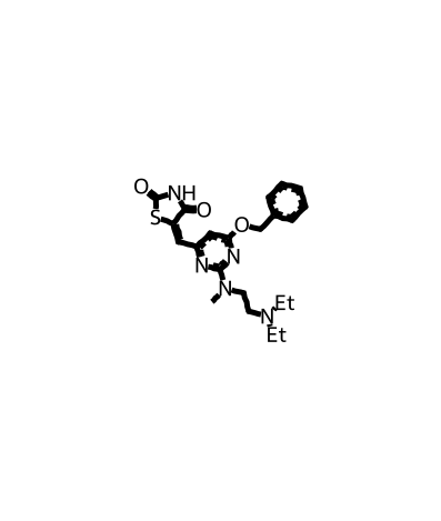 CCN(CC)CCN(C)c1nc(C=C2SC(=O)NC2=O)cc(OCc2ccccc2)n1